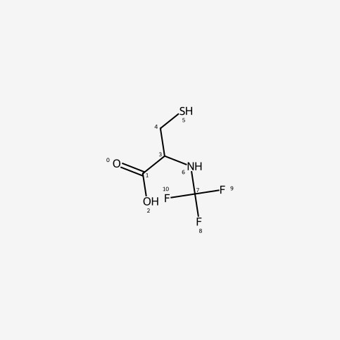 O=C(O)C(CS)NC(F)(F)F